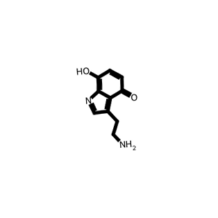 NCCC1=C2C(=O)C=CC(O)=C2N=C1